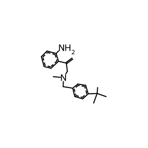 C=C(CN(C)Cc1ccc(C(C)(C)C)cc1)c1ccccc1N